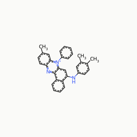 Cc1ccc2nc3c4ccccc4c(Nc4ccc(C)c(C)c4)cc3[n+](-c3ccccc3)c2c1